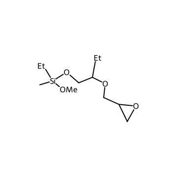 CCC(CO[Si](C)(CC)OC)OCC1CO1